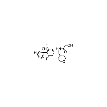 CC(C)(C)c1c(F)cc(C(NC(=O)CO)C2CCOCC2)cc1F